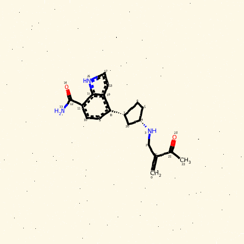 C=C(CN[C@H]1CC[C@@H](c2ccc(C(N)=O)c3[nH]ccc23)C1)C(C)=O